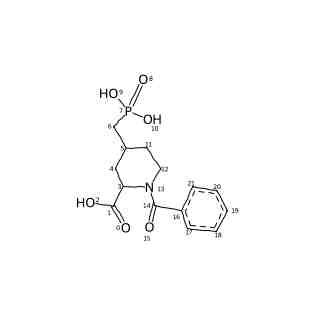 O=C(O)C1CC(CP(=O)(O)O)CCN1C(=O)c1ccccc1